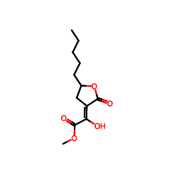 CCCCCC1CC(=C(O)C(=O)OC)C(=O)O1